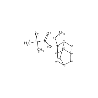 CCC(C)(C)C(=O)OC1(CC(F)(F)F)C2CC3CC(C2)CC1C3